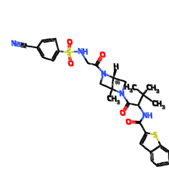 CC(C)(C)C(NC(=O)c1cc2ccccc2s1)C(=O)N1C[C@H]2N(C(=O)CNS(=O)(=O)c3ccc(C#N)cc3)CC21C